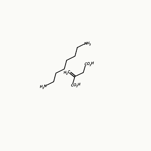 C=C(CC(=O)O)C(=O)O.NCCCCCCN